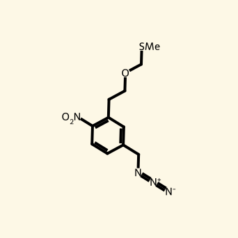 CSCOCCc1cc(CN=[N+]=[N-])ccc1[N+](=O)[O-]